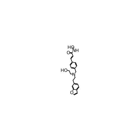 O=C(/C=C/c1ccc(CN(CCO)CCc2ccc3ccoc3c2)cc1)NO